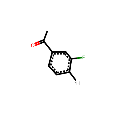 [2H]c1ccc(C(C)=O)cc1F